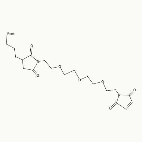 CCCC(C)CCSC1CC(=O)N(CCOCCOCCOCCN2C(=O)C=CC2=O)C1=O